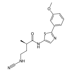 COc1cccc(-c2ncc(NC(=O)[C@H](C)CCNC#N)s2)c1